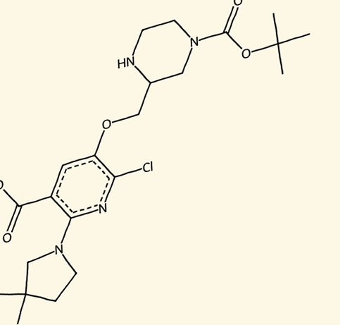 CC1(C)CCN(c2nc(Cl)c(OCC3CN(C(=O)OC(C)(C)C)CCN3)cc2C(=O)O)C1